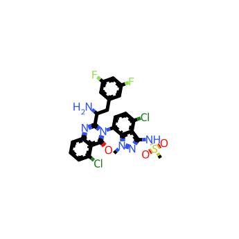 Cn1nc(NS(C)(=O)=O)c2c(Cl)ccc(-n3c(C(N)Cc4cc(F)cc(F)c4)nc4cccc(Cl)c4c3=O)c21